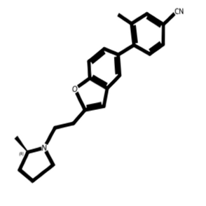 Cc1cc(C#N)ccc1-c1ccc2oc(CCN3CCC[C@H]3C)cc2c1